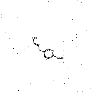 COc1ccc(CC=CC=O)cn1